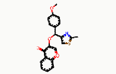 COc1ccc(C(Oc2coc3ccccc3c2=O)c2csc(C)n2)cc1